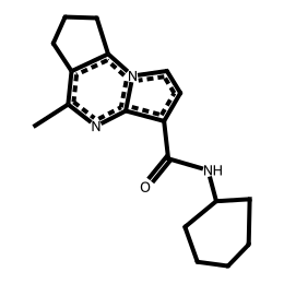 Cc1nc2c(C(=O)NC3CCCCC3)ccn2c2c1CCC2